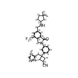 Cn1cnnc1CC1(c2cccc(N3Cc4c(cc(CNC5CCC(C)(C)C5)cc4C(F)(F)F)C3=O)c2)CC(C#N)C1